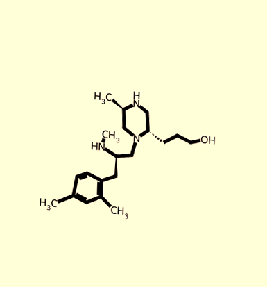 CN[C@H](Cc1ccc(C)cc1C)CN1C[C@@H](C)NC[C@@H]1CCCO